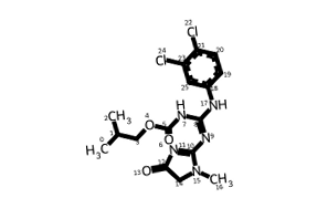 CC(C)COC(=O)N/C(=N\C1=NC(=O)CN1C)Nc1ccc(Cl)c(Cl)c1